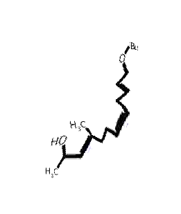 CCC(C)OCC=CC/C=C\CC/C(C)=C/C(C)O